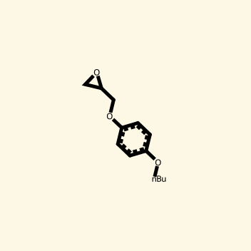 CCCCOc1ccc(OCC2CO2)cc1